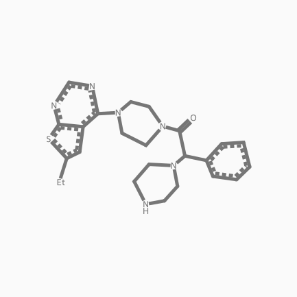 CCc1cc2c(N3CCN(C(=O)C(c4ccccc4)N4CCNCC4)CC3)ncnc2s1